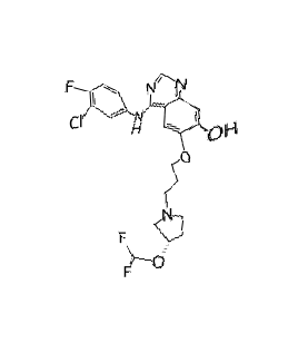 Oc1cc2ncnc(Nc3ccc(F)c(Cl)c3)c2cc1OCCCN1CC[C@H](OC(F)F)C1